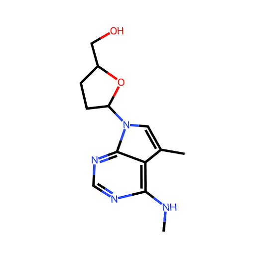 CNc1ncnc2c1c(C)cn2C1CCC(CO)O1